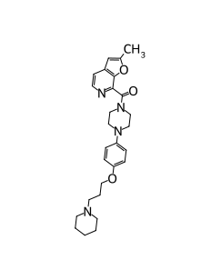 Cc1cc2ccnc(C(=O)N3CCN(c4ccc(OCCCN5CCCCC5)cc4)CC3)c2o1